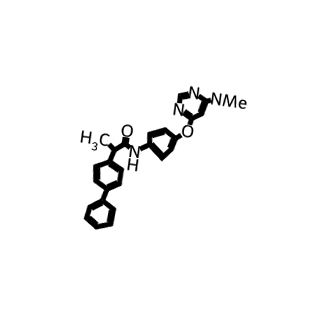 CNc1cc(Oc2ccc(NC(=O)C(C)c3ccc(-c4ccccc4)cc3)cc2)ncn1